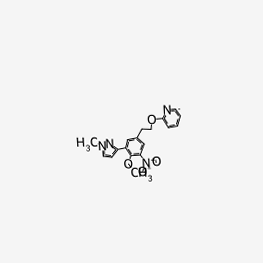 COc1c(-c2ccn(C)n2)cc(CCOc2ccc[c]n2)cc1[N+](=O)[O-]